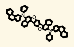 c1ccc(N(c2ccc3ccc4ccccc4c3c2)c2cc3oc4cc5c(cc4c3c3ccccc23)oc2cc(N(c3ccccc3)c3ccc4ccc6ccccc6c4c3)c3ccccc3c25)cc1